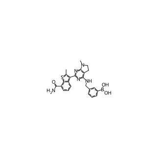 Cc1sc2c(C(N)=O)cccc2c1-c1nc(NCc2cccc(B(O)O)c2)c2c(n1)N(C)CC2